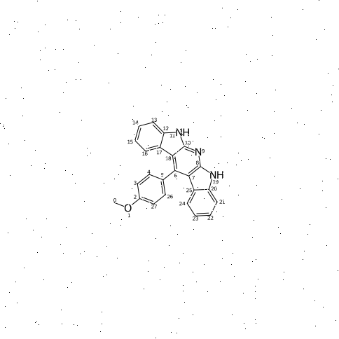 COc1ccc(-c2c3c(nc4[nH]c5ccccc5c24)[nH]c2ccccc23)cc1